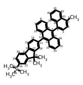 Cc1ccc(-c2c3ccccc3c(-c3ccc4c(c3)C(C)(C)c3cc([Si](C)(C)C)ccc3-4)c3ccccc23)c2ccccc12